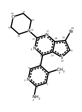 Cc1cc(N)ncc1-c1nc(N2CCOCC2)nc2c(Br)csc12